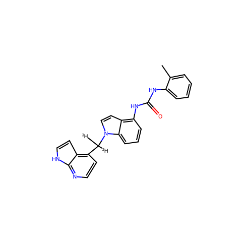 [2H]C([2H])(c1ccnc2[nH]ccc12)n1ccc2c(NC(=O)Nc3ccccc3C)cccc21